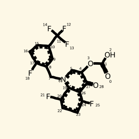 O=C(O)Oc1cn(Cc2cc(C(F)(F)F)ccc2F)c2c(F)ccc(F)c2c1=O